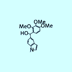 COc1ccc(C(O)c2ccc3c(ccn3C)c2)c(OC)c1OC